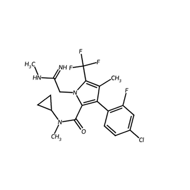 CNC(=N)Cn1c(C(=O)N(C)C2CC2)c(-c2ccc(Cl)cc2F)c(C)c1C(F)(F)F